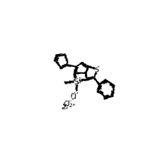 C[Si]1(C)C2=C(C3=CC=CC3)C=C3SC(c4ccccc4)=C1C32.[Cl-].[Cl-].[Zr+2]